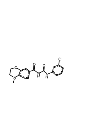 CN1CCOc2cc(C(=O)NC(=O)Nc3cccc(Cl)c3)ccc21